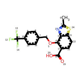 Cc1nc2c(OCc3ccc(C(F)(F)F)cc3)c(C(=O)O)ccc2s1